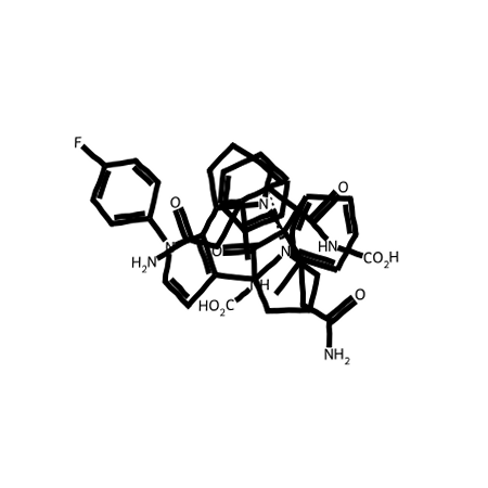 CC1(CC(N)=O)c2ccc(cc2)[C@]1(C(=O)NC(=O)O)N1CCCC1c1ccn(-c2ccc(F)cc2)c1C1CCCN1[C@@]1(C(=O)NC(=O)O)c2ccc(cc2)C1(C)CC(N)=O